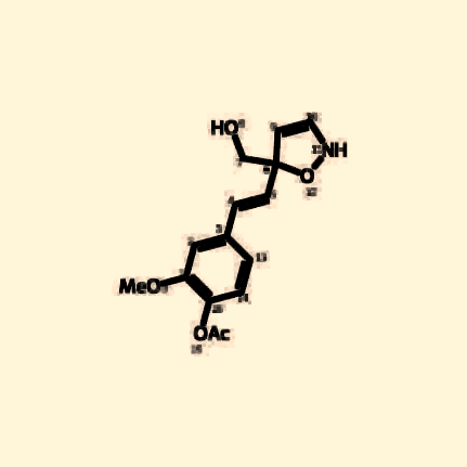 COc1cc(C=CC2(CO)C=CNO2)ccc1OC(C)=O